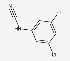 N#CNc1cc(Cl)cc(Cl)c1